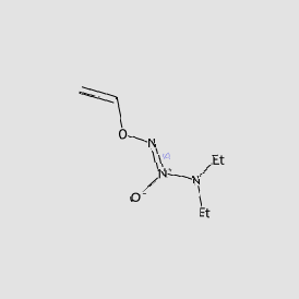 C=CO/N=[N+](\[O-])N(CC)CC